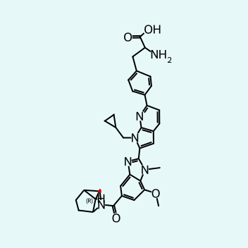 COc1cc(C(=O)N2CC3CCC2[C@@H]3C)cc2nc(-c3cc4ccc(-c5ccc(CC(N)C(=O)O)cc5)nc4n3CC3CC3)n(C)c12